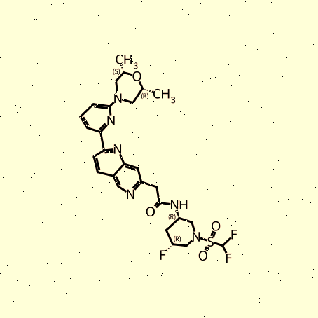 C[C@@H]1CN(c2cccc(-c3ccc4cnc(CC(=O)N[C@@H]5C[C@@H](F)CN(S(=O)(=O)C(F)F)C5)cc4n3)n2)C[C@H](C)O1